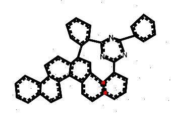 c1ccc(-c2nc(-c3ccccc3)nc(-c3ccccc3-c3cc4ccccc4c4c3ccc3c5ccccc5ccc34)n2)cc1